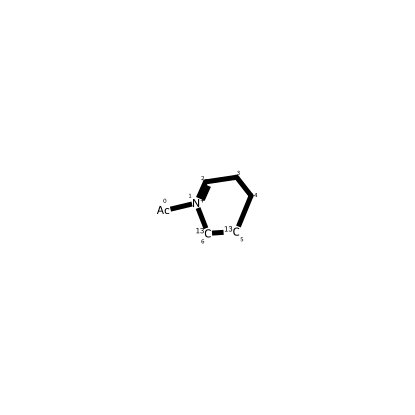 C[13C](=O)[N+]1=CCC[13CH2][13CH2]1